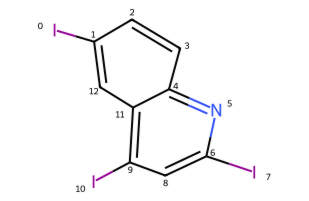 Ic1ccc2nc(I)cc(I)c2c1